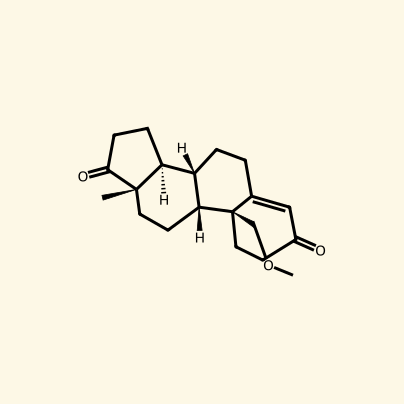 COC[C@]12CCC(=O)C=C1CC[C@@H]1[C@H]2CC[C@]2(C)C(=O)CC[C@@H]12